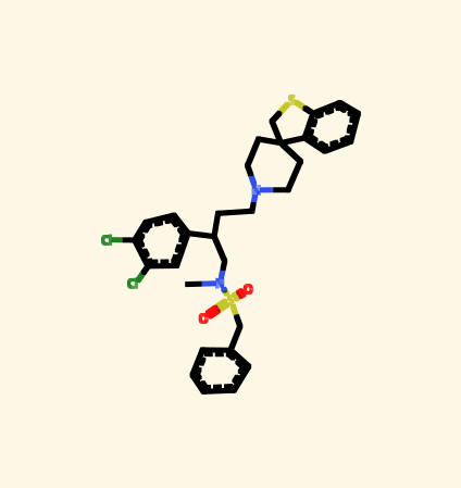 CN(CC(CCN1CCC2(CC1)CSc1ccccc12)c1ccc(Cl)c(Cl)c1)S(=O)(=O)Cc1ccccc1